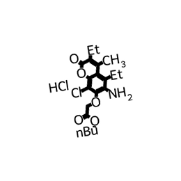 CCCCOC(=O)COc1c(N)c(CC)c2c(C)c(CC)c(=O)oc2c1Cl.Cl